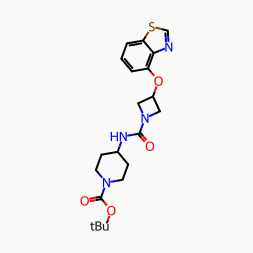 CC(C)(C)OC(=O)N1CCC(NC(=O)N2CC(Oc3cccc4scnc34)C2)CC1